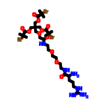 CC(C)(Br)C(=O)OCC(COCC(=O)NCCOCCOCCNC(=O)C(N)CCCNC(=N)N)(COC(=O)C(C)(C)Br)COC(=O)C(C)(C)Br